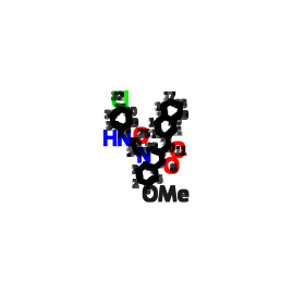 COc1ccc2c(c1)c(=O)c(C(=O)c1ccc3ccccc3c1)cn2CC(=O)Nc1ccc(Cl)cc1